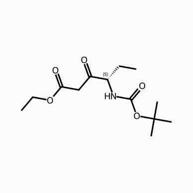 CCOC(=O)CC(=O)[C@H](CC)NC(=O)OC(C)(C)C